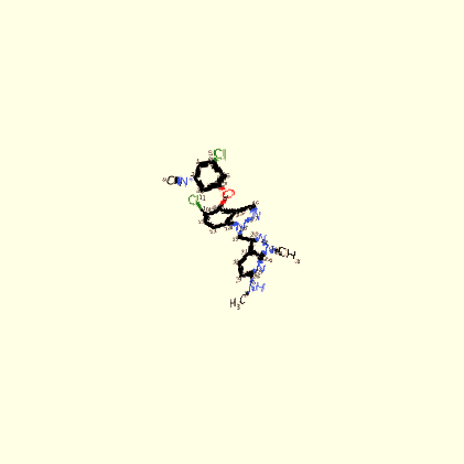 [C-]#[N+]c1cc(Cl)cc(Oc2c(Cl)ccc3c2cnn3Cc2nn(C)c3nc(NC)ccc23)c1